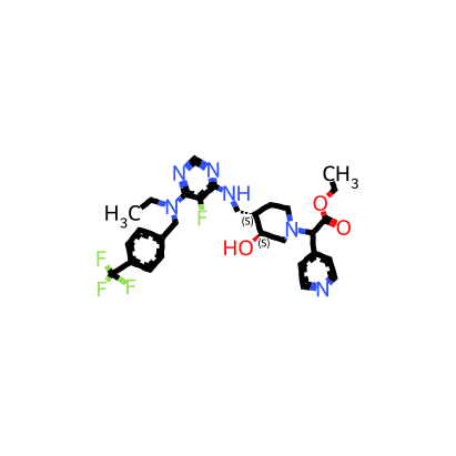 CCOC(=O)C(c1ccncc1)N1CC[C@@H](CNc2ncnc(N(CC)Cc3ccc(C(F)(F)F)cc3)c2F)[C@H](O)C1